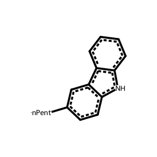 CCCC[CH]c1ccc2[nH]c3ccccc3c2c1